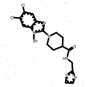 CC(C)n1c(N2CCC(C(=O)NCc3nccs3)CC2)nc2cc(Cl)c(Cl)cc21